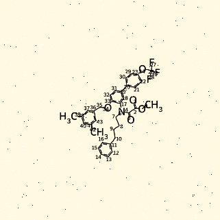 COC(=O)C(=O)N(CCCCc1ccccc1)c1cc(-c2ccc(OC(F)(F)F)cc2)ccc1OCc1cc(C)cc(C)c1